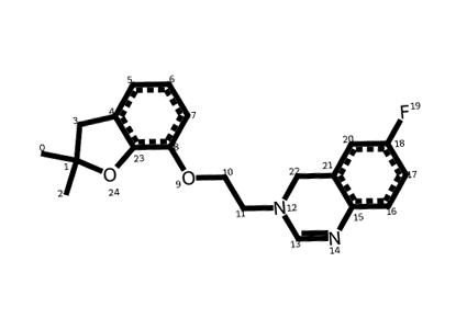 CC1(C)Cc2cccc(OCCN3C=Nc4ccc(F)cc4C3)c2O1